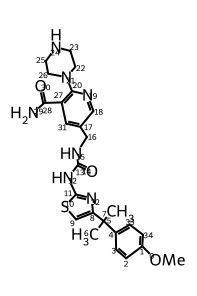 COc1ccc(C(C)(C)c2csc(NC(=O)NCc3cnc(N4CCNCC4)c(C(N)=O)c3)n2)cc1